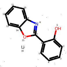 Oc1ccccc1-c1nc2ccccc2o1.[Li]